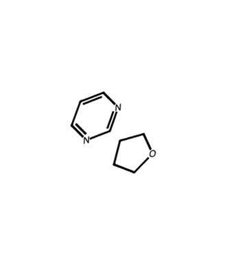 C1CCOC1.c1cncnc1